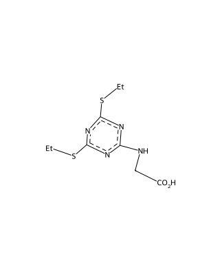 CCSc1nc(NCC(=O)O)nc(SCC)n1